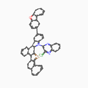 Clc1nc2ccccc2nc1-n1c2ccc(-c3ccc4oc5ccccc5c4c3)cc2c2c3ccccc3c3c4ccc5ccccc5c4sc3c21